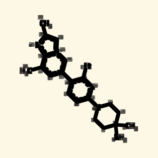 CCc1nc(N2CCC(C)(N)CC2)ccc1-c1cc(C)c2nc(C)cn2c1